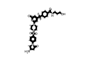 N[C@@H]1CC(=O)N(c2ccc(S(=O)(=O)N3CCN(c4cc(C(F)(F)C5CCC(C(=O)NCCCO)CC5)cc(Cl)n4)CC3)cc2)C1